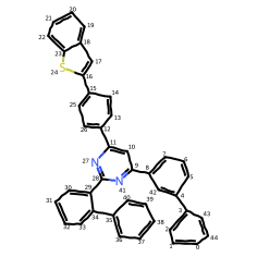 c1ccc(-c2cccc(-c3cc(-c4ccc(-c5cc6ccccc6s5)cc4)nc(-c4ccccc4-c4ccccc4)n3)c2)cc1